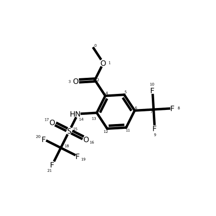 COC(=O)c1cc(C(F)(F)F)ccc1NS(=O)(=O)C(F)(F)F